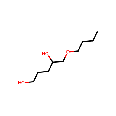 CCCCOCC(O)CCCO